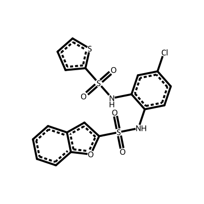 O=S(=O)(Nc1ccc(Cl)cc1NS(=O)(=O)c1cccs1)c1cc2ccccc2o1